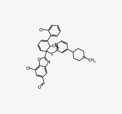 CC1C(c2ccccc2Cl)=CC=CC1(Sc1cc(C2CCN(C)CC2)ccn1)c1nc2cc(C=O)cc(Cl)c2o1